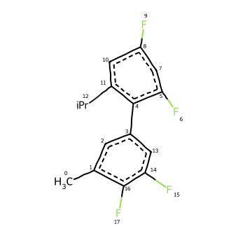 Cc1cc(-c2c(F)cc(F)cc2C(C)C)cc(F)c1F